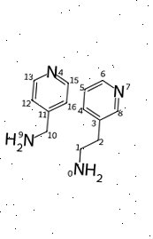 NCCc1cccnc1.NCc1ccncc1